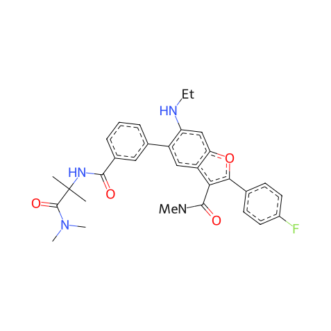 CCNc1cc2oc(-c3ccc(F)cc3)c(C(=O)NC)c2cc1-c1cccc(C(=O)NC(C)(C)C(=O)N(C)C)c1